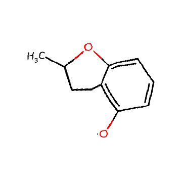 CC1Cc2c([O])cccc2O1